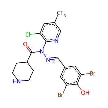 O=C(C1CCNCC1)N(/N=C/c1cc(Br)c(O)c(Br)c1)c1ncc(C(F)(F)F)cc1Cl